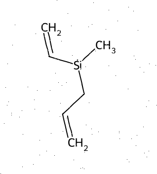 C=CC[Si](C)C=C